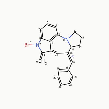 C=c1c2c3c(cccc3n1Br)N1CCCC1/C(=C/c1ccccc1)C=2